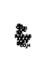 CC(O)[C@H]1CN(c2c(F)cc3c(=O)c(C(=O)O)cn(-c4ccc(F)cc4F)c3c2F)CCN1C(=O)OC(C)(C)C